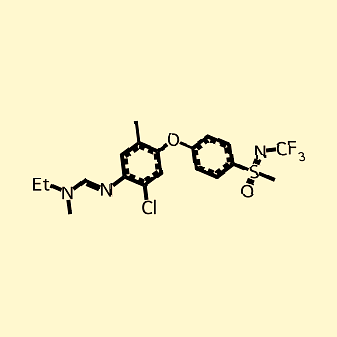 CCN(C)C=Nc1cc(C)c(Oc2ccc(S(C)(=O)=NC(F)(F)F)cc2)cc1Cl